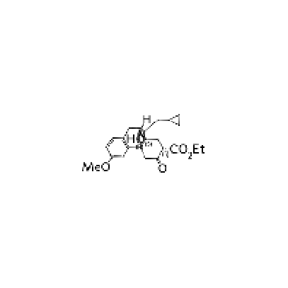 CCOC(=O)[C@H]1C[C@@]2(O)[C@H]3Cc4ccc(OC)cc4[C@@]2(CCN3CC2CC2)CC1=O